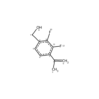 C=C(C)c1ccc(CO)c(F)c1F